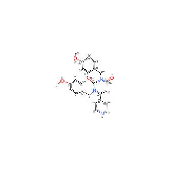 COc1ccc(Cn2c(-c3ccncc3)cc(=O)n(Cc3ccc(OC)cc3)c2=O)cc1